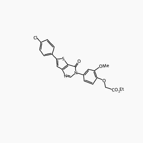 CCOC(=O)COc1ccc(-n2cnc3cc(-c4ccc(Cl)cc4)sc3c2=O)cc1OC